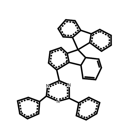 C1=CC2c3c(-c4nc(-c5ccccc5)nc(-c5ccccc5)n4)cccc3C3(c4ccccc4-c4ccccc43)C2C=C1